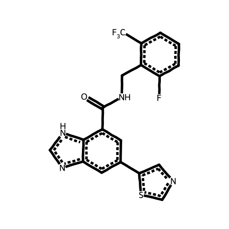 O=C(NCc1c(F)cccc1C(F)(F)F)c1cc(-c2cncs2)cc2nc[nH]c12